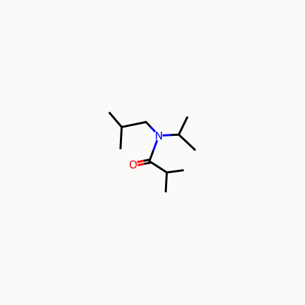 CC(C)CN(C(=O)C(C)C)C(C)C